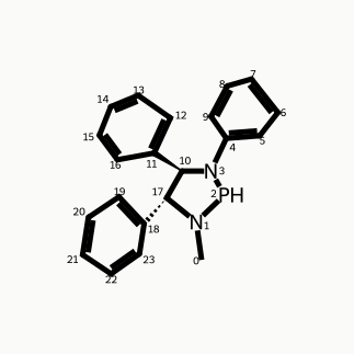 CN1PN(c2ccccc2)[C@H](c2ccccc2)[C@H]1c1ccccc1